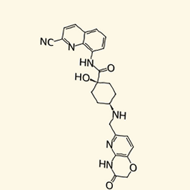 N#Cc1ccc2cccc(NC(=O)[C@]3(O)CC[C@@H](NCc4ccc5c(n4)NC(=O)CO5)CC3)c2n1